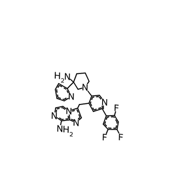 Nc1nccn2c(Cc3cc(-c4cc(F)c(F)cc4F)ncc3N3CCCC(N)(c4ccccn4)C3)cnc12